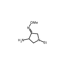 CCN1C/C(=N\OC)C(N)C1